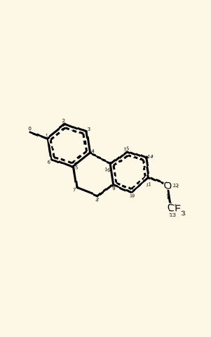 Cc1ccc2c(c1)CCc1cc(OC(F)(F)F)ccc1-2